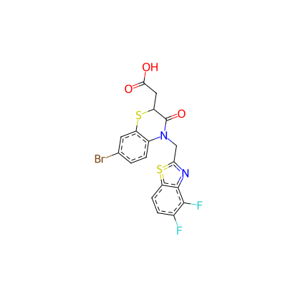 O=C(O)CC1Sc2cc(Br)ccc2N(Cc2nc3c(F)c(F)ccc3s2)C1=O